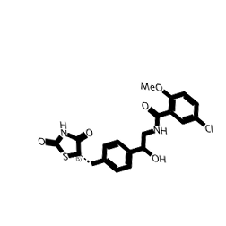 COc1ccc(Cl)cc1C(=O)NCC(O)c1ccc(C[C@@H]2SC(=O)NC2=O)cc1